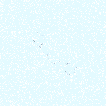 N#Cc1cc(Cl)c(NC(=O)Nc2nc3c(F)cc(F)cc3s2)c(Cl)c1